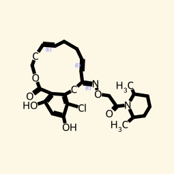 CC1CCCC(C)N1C(=O)CO/N=C1/C=C/CC/C=C/CCOC(=O)c2c(O)cc(O)c(Cl)c2C1